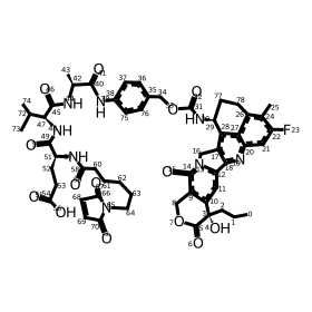 CCC[C@@]1(O)C(=O)OCc2c1cc1n(c2=O)Cc2c-1nc1cc(F)c(C)c3c1c2[C@@H](NC(=O)OCc1ccc(NC(=O)[C@H](C)NC(=O)[C@@H](NC(=O)[C@H](CCC(=O)O)NC(=O)CCCCCN2C(=O)C=CC2=O)C(C)C)cc1)CC3